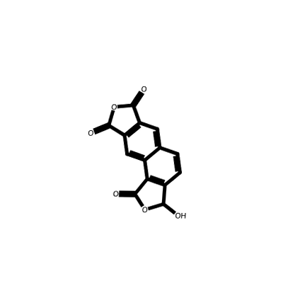 O=C1OC(=O)c2cc3c4c(ccc3cc21)C(O)OC4=O